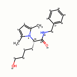 Cc1ccc(C)n1[C@@H](CCCCO)C(=O)NCc1ccccc1